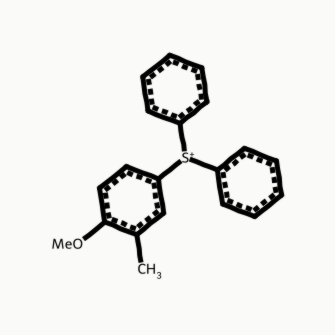 COc1ccc([S+](c2ccccc2)c2ccccc2)cc1C